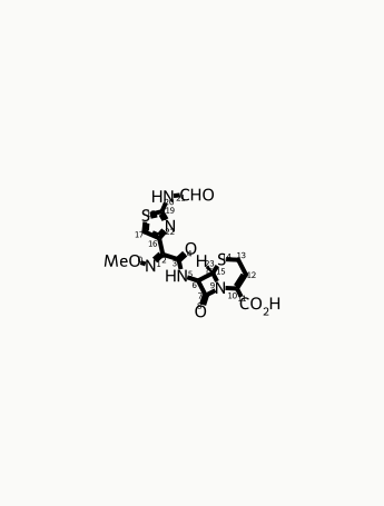 CON=C(C(=O)NC1C(=O)N2C(C(=O)O)=CCS[C@@H]12)c1csc(NC=O)n1